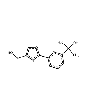 CC(C)(O)c1cccc(-c2nc(CO)cs2)n1